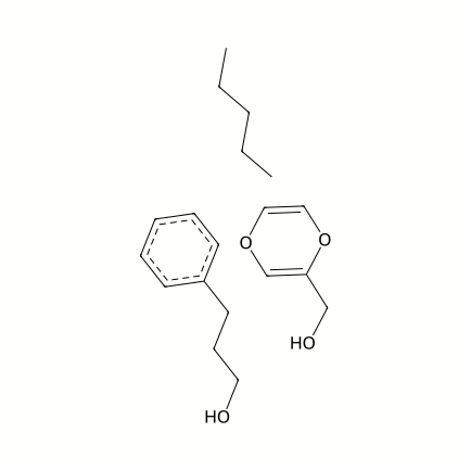 CCCCC.OCC1=COC=CO1.OCCCc1ccccc1